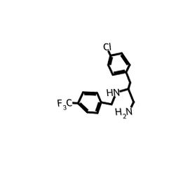 NCC(Cc1ccc(Cl)cc1)NCc1ccc(C(F)(F)F)cc1